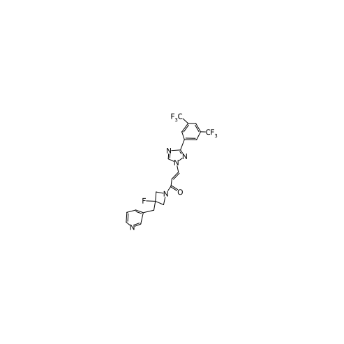 O=C(C=Cn1cnc(-c2cc(C(F)(F)F)cc(C(F)(F)F)c2)n1)N1CC(F)(Cc2cccnc2)C1